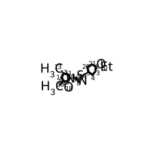 CCOc1ccc(-c2ncc(-n3cc(C)cc(C)c3=O)s2)cc1